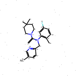 C=C(N1CCC(C)(C)CC1)N(Cc1ccc(C#N)cn1)c1cc(F)ccc1C